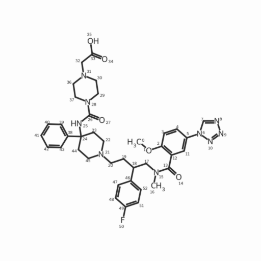 COc1ccc(-n2cnnn2)cc1C(=O)N(C)CC(CCN1CCC(NC(=O)N2CCN(CC(=O)O)CC2)(c2ccccc2)CC1)c1ccc(F)cc1